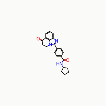 O=C(NC1CCCC1)c1ccc(-c2nc3cccc4c3n2CCC4=O)cc1